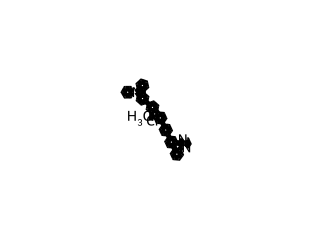 CC1(C)c2cc(-c3ccc(-c4ccc5c6ccccc6c6nccnc6c5c4)cc3)ccc2-c2ccc(-c3ccc4c(c3)c3ccccc3n4-c3ccccc3)cc21